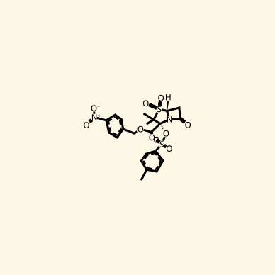 Cc1ccc(S(=O)(=O)O[C@@]2(C(=O)OCc3ccc([N+](=O)[O-])cc3)N3C(=O)C[C@H]3S(=O)(=O)C2(C)C)cc1